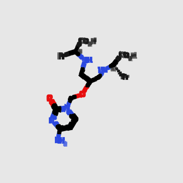 CC(C)[C@H](NCC(CN[C@H](C(=O)O)C(C)C)OCn1ccc(N)nc1=O)C(=O)O